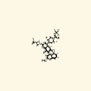 C[C@@H]1CN(c2nc(N3CC(N(C)C)C3)nc3c(F)c(-c4cc(O)cc5ccccc45)c(Cl)cc23)[C@H](C)CN1C(=O)OC(C)(C)C